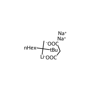 O=C([O-])CC(=O)[O-].[Li][C](C)(CCCCCC)C(C)(C)C.[Na+].[Na+]